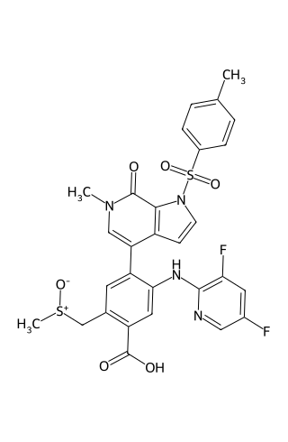 Cc1ccc(S(=O)(=O)n2ccc3c(-c4cc(C[S+](C)[O-])c(C(=O)O)cc4Nc4ncc(F)cc4F)cn(C)c(=O)c32)cc1